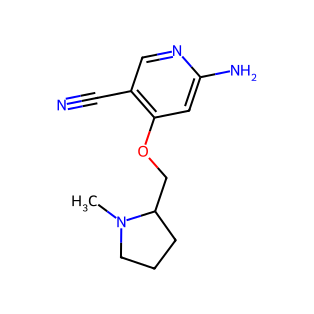 CN1CCCC1COc1cc(N)ncc1C#N